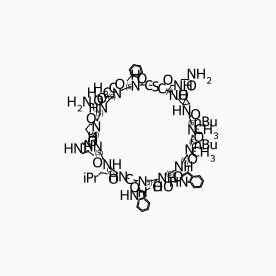 CCCC[C@H]1C(=O)N(C)[C@@H](CCCC)C(=O)NC2(CC2)C(=O)N[C@H](C(=O)NCC(N)=O)CSCC(=O)N[C@@H](Cc2ccccc2)C(=O)N(C)[C@@H](C)C(=O)N[C@@H](CC(N)=O)C(=O)N2CCC[C@H]2C(=O)N[C@@H](Cc2c[nH]cn2)C(=O)N[C@@H](CCC(C)C)C(=O)NCC(=O)N[C@@H](Cc2c[nH]c3ccccc23)C(=O)N[C@@H](CO)C(=O)N[C@@H](Cc2c[nH]c3ccccc23)C(=O)N1C